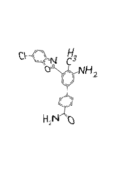 Cc1c(N)cc(-c2ccc(C(N)=O)cc2)cc1-c1nc2ccc(Cl)cc2o1